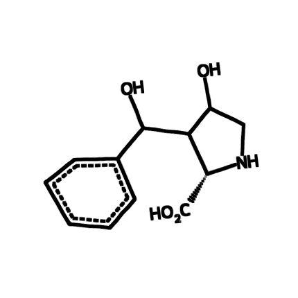 O=C(O)[C@H]1NCC(O)C1C(O)c1ccccc1